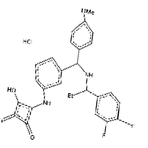 CCC(NC(c1ccc(OC)cc1)c1cccc(Nc2c(O)c(=O)c2=O)c1)c1ccc(F)c(F)c1.Cl